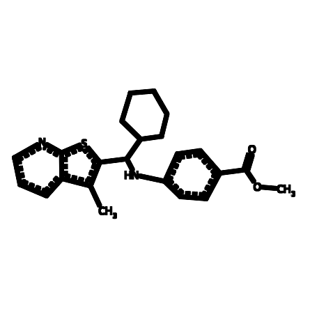 COC(=O)c1ccc(NC(c2sc3ncccc3c2C)C2CCCCC2)cc1